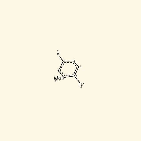 Fc1ccc(Br)cc1.[Mg]